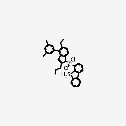 CCCC1=Cc2c(ccc(CC)c2-c2cc(C)cc(C)c2)[CH]1[Zr]([Cl])([Cl])[c]1cccc2c1[SiH2]c1ccccc1-2